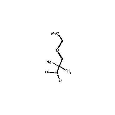 COCOCC(C)(C)N(Cl)Cl